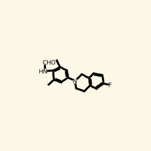 Cc1cc(N2CCc3cc(F)ccc3C2)cc(C)c1NC=O